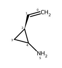 C=C[C@@H]1CC1N